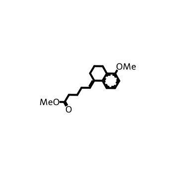 COC(=O)CCCC=C1CCCc2c(OC)cccc21